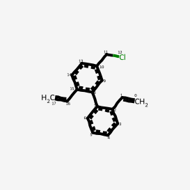 C=Cc1ccccc1-c1cc(CCl)ccc1C=C